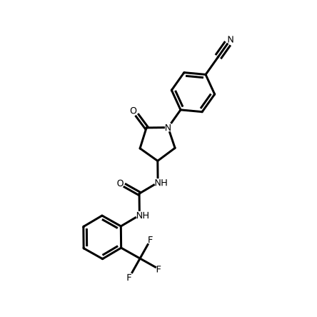 N#Cc1ccc(N2CC(NC(=O)Nc3ccccc3C(F)(F)F)CC2=O)cc1